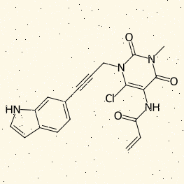 C=CC(=O)Nc1c(Cl)n(CC#Cc2ccc3cc[nH]c3c2)c(=O)n(C)c1=O